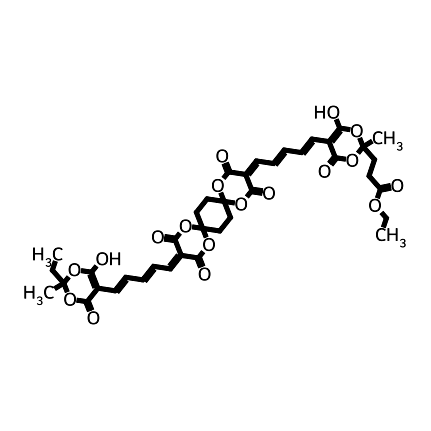 CCOC(=O)CCC1(C)OC(=O)C(/C=C/C=C/C=C2C(=O)OC3(CCC4(CC3)OC(=O)C(=C/C=C/C=C/C3=C(O)OC(C)(CC)OC3=O)C(=O)O4)OC2=O)=C(O)O1